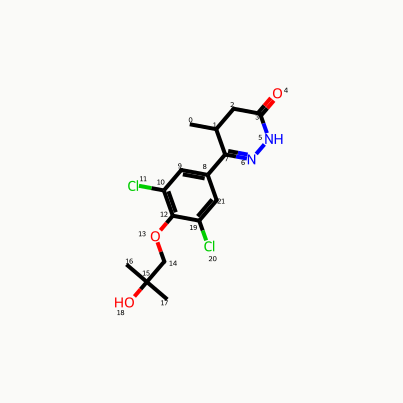 CC1CC(=O)NN=C1c1cc(Cl)c(OCC(C)(C)O)c(Cl)c1